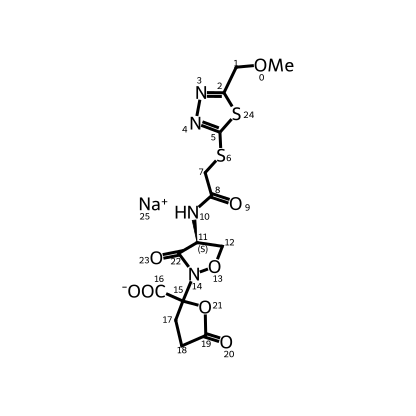 COCc1nnc(SCC(=O)N[C@H]2CON(C3(C(=O)[O-])CCC(=O)O3)C2=O)s1.[Na+]